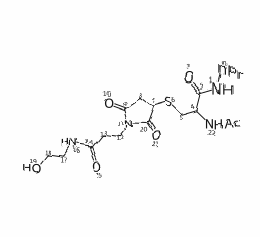 CCCNC(=O)C(CSC1CC(=O)N(CCC(=O)NCCO)C1=O)NC(C)=O